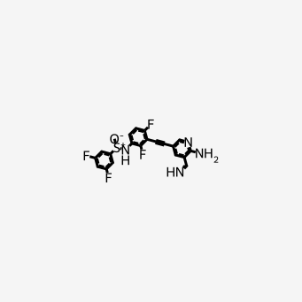 N=Cc1cc(C#Cc2c(F)ccc(N[S+]([O-])c3cc(F)cc(F)c3)c2F)cnc1N